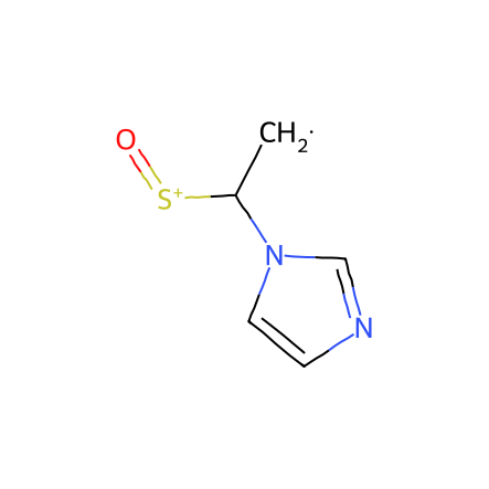 [CH2]C([S+]=O)n1ccnc1